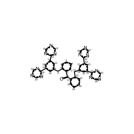 O=C(c1ccccc1Cc1cc(-c2ncncn2)cc(-c2ncncn2)c1)c1ccccc1Cc1cc(-c2ncncn2)cc(-c2ncncn2)c1